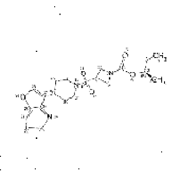 CC[C@@H](C)OC(=O)N1CC(S(=O)(=O)N2CCC(c3coc4cccnc34)CC2)C1